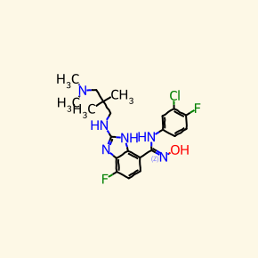 CN(C)CC(C)(C)CNc1nc2c(F)ccc(/C(=N/O)Nc3ccc(F)c(Cl)c3)c2[nH]1